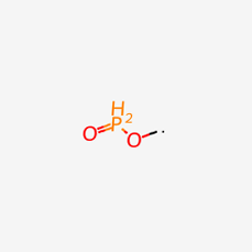 [CH2]O[PH2]=O